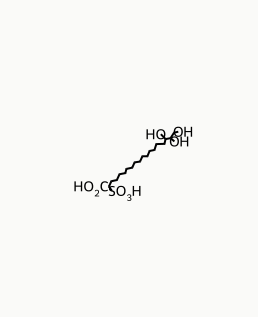 O=C(O)C(CCCCCCCCCCCCCCC(O)C(O)CO)S(=O)(=O)O